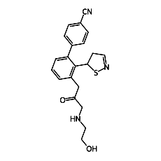 N#Cc1ccc(-c2cccc(CC(=O)CNCCO)c2C2CC=NS2)cc1